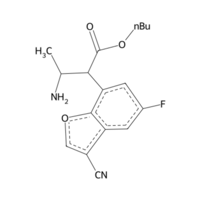 CCCCOC(=O)C(c1cc(F)cc2c(C#N)coc12)C(C)N